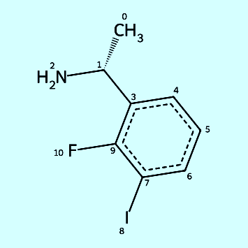 C[C@@H](N)c1cccc(I)c1F